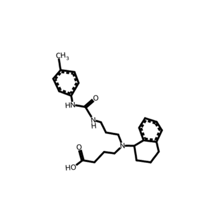 Cc1ccc(NC(=O)NCCCN(CCCC(=O)O)C2CCCc3ccccc32)cc1